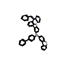 C(=C(\c1ccccc1)c1cccc2c1sc1ccc(N(c3ccc(-c4ccccc4)cc3)c3ccc4sc5ccccc5c4c3)cc12)/c1ccccc1